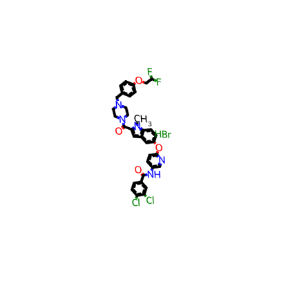 Br.Cn1c(C(=O)N2CCN(Cc3ccc(OCC(F)F)cc3)CC2)cc2cc(Oc3ccc(NC(=O)c4ccc(Cl)c(Cl)c4)cn3)ccc21